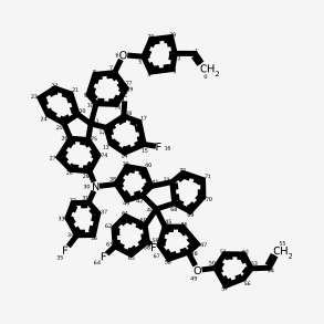 C=Cc1ccc(Oc2ccc(C3(c4ccc(F)cc4F)c4ccccc4-c4ccc(N(c5ccc(F)cc5)c5ccc6c(c5)C(c5ccc(Oc7ccc(C=C)cc7)cc5)(c5ccc(F)cc5F)c5ccccc5-6)cc43)cc2)cc1